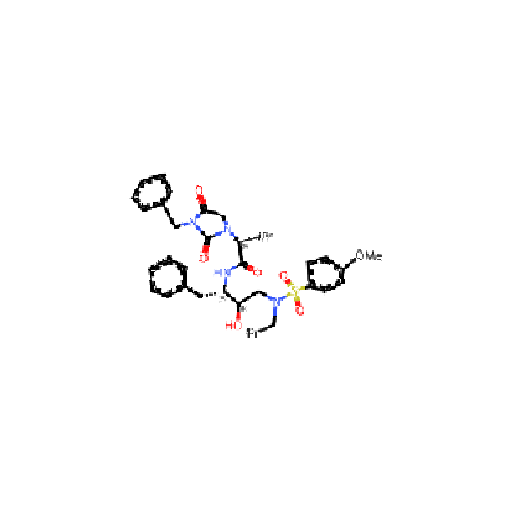 COc1ccc(S(=O)(=O)N(CC(C)C)C[C@@H](O)[C@H](Cc2ccccc2)NC(=O)[C@H](C(C)C)N2CC(=O)N(Cc3ccccc3)C2=O)cc1